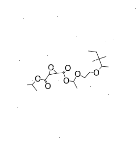 CCC(C)(C)C(C)OCCOC(C)OC(=O)C1OC1C(=O)OC(C)C